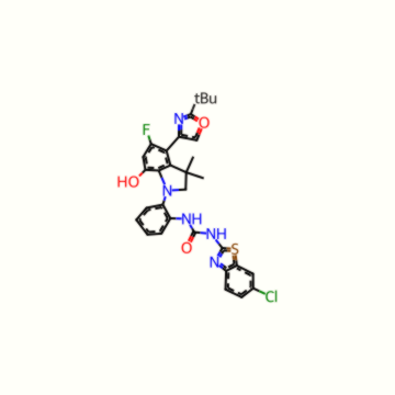 CC(C)(C)c1nc(-c2c(F)cc(O)c3c2C(C)(C)CN3c2ccccc2NC(=O)Nc2nc3ccc(Cl)cc3s2)co1